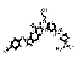 CCCOc1ccc(S(=O)(=O)N2CC[C@@H](N(C)C)C2)cc1-c1nc2cc3ncn(Cc4ccc(C#N)cc4)c3cc2c(=O)[nH]1